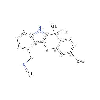 C=NCc1cccc2[nH]c3c(c12)Cc1cc(OC)ccc1C3(C)C